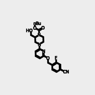 CCCCOC(=O)N1CCN(c2cccc(OCc3ccc(C#N)cc3F)n2)CC1CO